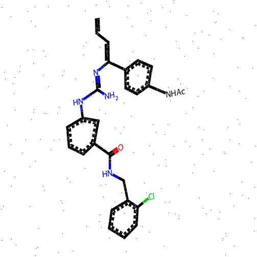 C=C/C=C(\N=C(/N)Nc1cccc(C(=O)NCc2ccccc2Cl)c1)c1ccc(NC(C)=O)cc1